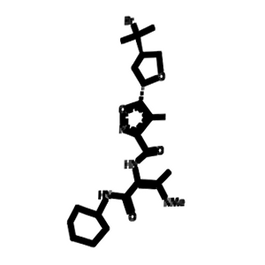 CN/C(C)=C(/NC(=O)c1noc([C@@H]2C[C@@H](C(C)(C)Br)CO2)c1C)C(=O)NC1CCCCC1